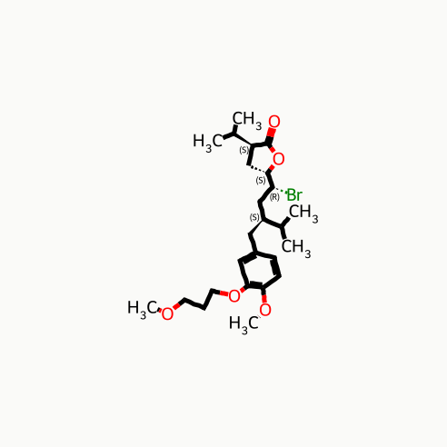 COCCCOc1cc(C[C@@H](C[C@@H](Br)[C@@H]2C[C@@H](C(C)C)C(=O)O2)C(C)C)ccc1OC